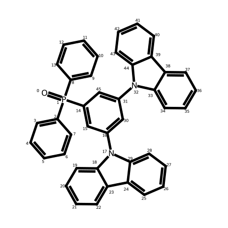 O=P(c1ccccc1)(c1ccccc1)c1cc(-n2c3ccccc3c3ccccc32)cc(-n2c3ccccc3c3ccccc32)c1